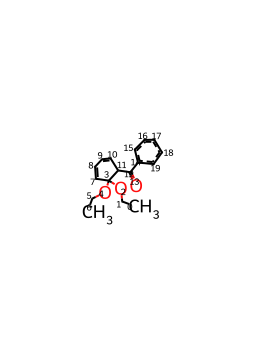 CCOC1(OCC)C=CC=CC1C(=O)c1ccccc1